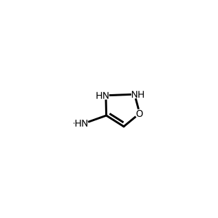 [NH]C1=CONN1